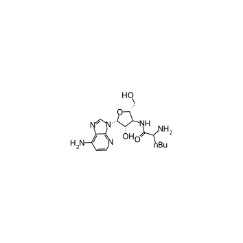 CCCCC(N)C(=O)NC1[C@@H](CO)O[C@@H](n2cnc3c(N)ccnc32)[C@H]1O